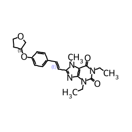 CCn1c(=O)c2c(nc(/C=C/c3ccc(O[C@H]4CCOC4)cc3)n2C)n(CC)c1=O